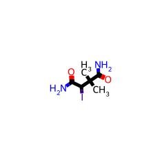 CC(C)(C(N)=O)C(I)C(N)=O